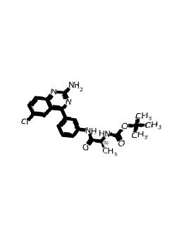 C[C@H](NC(=O)OC(C)(C)C)C(=O)Nc1cccc(-c2nc(N)nc3ccc(Cl)cc23)c1